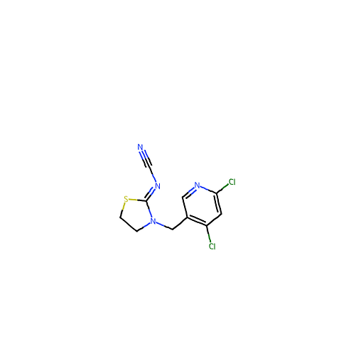 N#CN=C1SCCN1Cc1cnc(Cl)cc1Cl